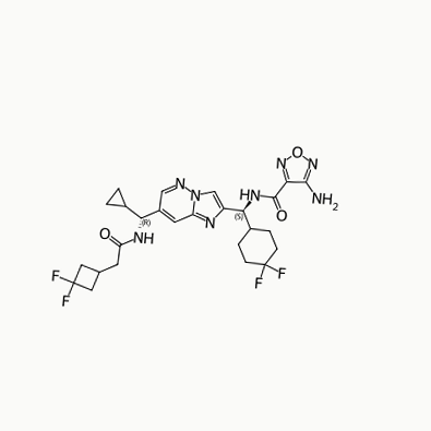 Nc1nonc1C(=O)N[C@H](c1cn2ncc([C@H](NC(=O)CC3CC(F)(F)C3)C3CC3)cc2n1)C1CCC(F)(F)CC1